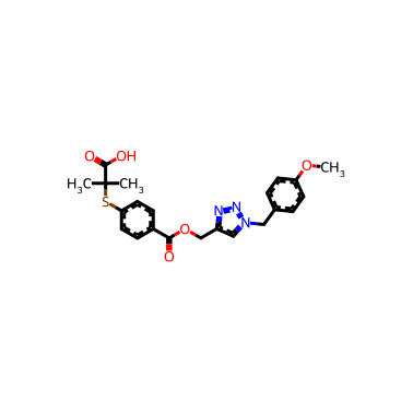 COc1ccc(Cn2cc(COC(=O)c3ccc(SC(C)(C)C(=O)O)cc3)nn2)cc1